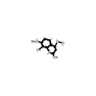 CCOc1cc(C#N)nc2c(Cl)c(OC)ccc12